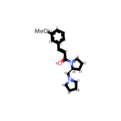 COc1cccc(/C=C/C(=O)N2CCC[C@H]2CN2CCCC2)c1